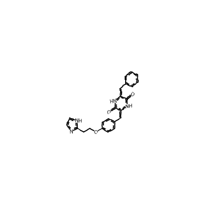 O=c1[nH]c(=Cc2ccc(OCCc3ncc[nH]3)cc2)c(=O)[nH]c1=Cc1ccccc1